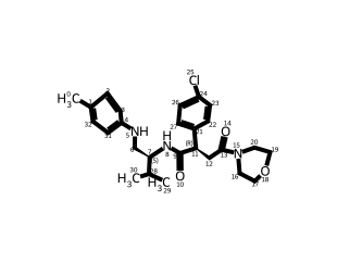 Cc1ccc(NC[C@@H](NC(=O)[C@H](CC(=O)N2CCOCC2)c2ccc(Cl)cc2)C(C)C)cc1